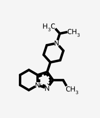 CCc1nn2c(c1C1CCN(C(C)C)CC1)CCCC2